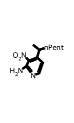 CCCCCC(C)c1ccnc(N)c1[N+](=O)[O-]